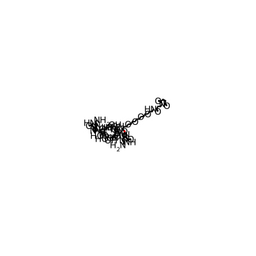 Nc1nc2c(ncn2[C@@H]2O[C@@H]3CO[PH](O)(O)O[C@H]4[C@@H](NC(=O)CCOCCOCCOCCOCCNC(=O)CCN5C(=O)C=CC5=O)[C@H](n5cnc6c(=O)[nH]c(N)nc65)O[C@@H]4CO[PH](O)(O)O[C@H]3[C@H]2O)c(=O)[nH]1